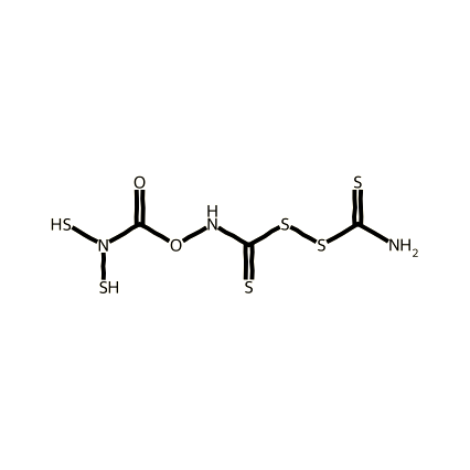 NC(=S)SSC(=S)NOC(=O)N(S)S